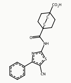 N#Cc1sc(NC(=O)C23CCC(C(=O)O)(CC2)CC3)nc1-c1ccccc1